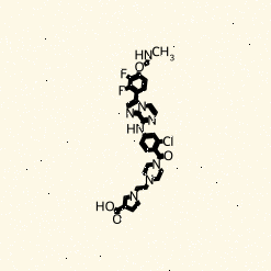 CNCOc1ccc(-c2cnc3c(Nc4ccc(C(=O)N5CCN(CCN6CCC(C(=O)O)C6)CC5)c(Cl)c4)nccn23)c(F)c1F